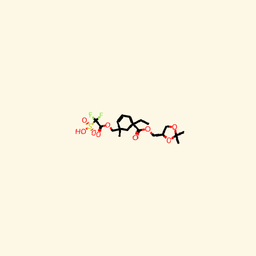 CCC1(C(=O)OCC2COC(C)(C)O2)CC=CC(C)(COC(=O)C(F)(F)S(=O)(=O)O)C1